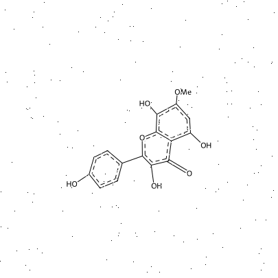 COc1cc(O)c2c(=O)c(O)c(-c3ccc(O)cc3)oc2c1O